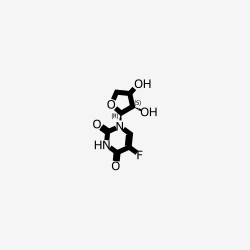 O=c1[nH]c(=O)n([C@@H]2OCC(O)[C@@H]2O)cc1F